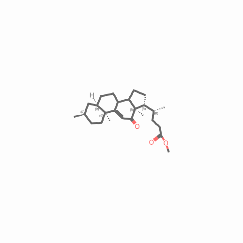 COC(=O)CC[C@@H](C)[C@H]1CCC2C3CC[C@@H]4C[C@H](C)CC[C@]4(C)C3=CC(=O)[C@@]21C